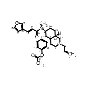 C=CCN1CC[C@@]2(c3cccc(OC(C)=O)c3)C[C@@H](N(C)C(=O)/C=C/c3ccoc3)CC[C@@H]2C1